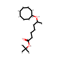 CC(CCCCC(=O)OC(C)(C)C)OC1CCCCCCC1